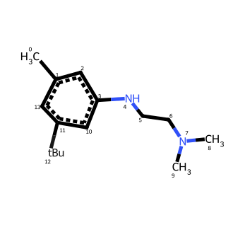 Cc1cc(NCCN(C)C)cc(C(C)(C)C)c1